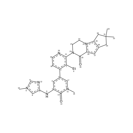 CCc1c(-c2cc(Nc3cn(C)cn3)c(=O)n(C)c2)ccnc1N1CCn2c(cc3c2CC(C)(C)C3)C1=O